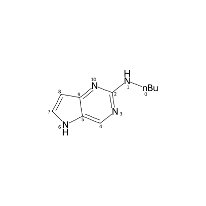 CCCCNc1ncc2[nH]ccc2n1